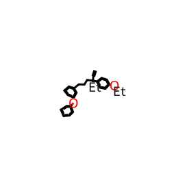 C#CC(CC)(CCCc1cccc(Oc2ccccc2)c1)c1ccc(OCC)cc1